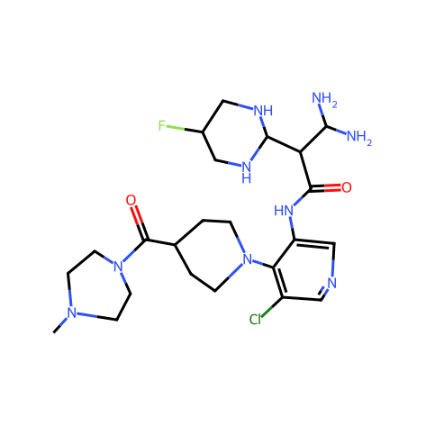 CN1CCN(C(=O)C2CCN(c3c(Cl)cncc3NC(=O)C(C(N)N)C3NCC(F)CN3)CC2)CC1